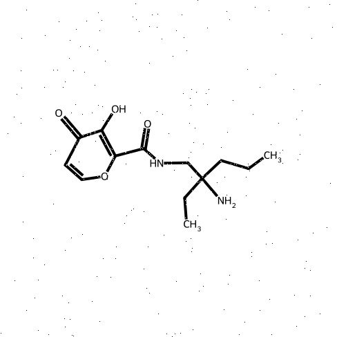 CCCC(N)(CC)CNC(=O)c1occc(=O)c1O